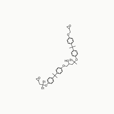 CCC(C)(CC(O)COc1ccc(C(C)(C)c2ccc(OC(CC)(CC)CC3CO3)cc2)cc1)Oc1ccc(C(C)(C)c2ccc(OCC3CO3)cc2)cc1